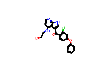 O=C(c1ccc(Oc2ccccc2)cc1Cl)c1c[nH]c2nccc(NCCO)c12